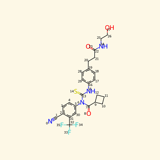 N#Cc1ccc(N(C(=O)C2CCC2)C(=S)Nc2ccc(CCC(=O)NCCO)cc2)cc1C(F)(F)F